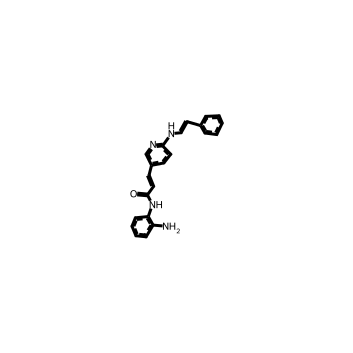 Nc1ccccc1NC(=O)C=Cc1ccc(NC=Cc2ccccc2)nc1